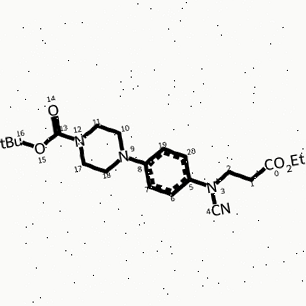 CCOC(=O)CCN(C#N)c1ccc(N2CCN(C(=O)OC(C)(C)C)CC2)cc1